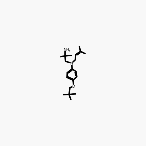 CC(C)=CCN(CC(C)(C)N)c1ccc(OCC(C)(C)C)cc1